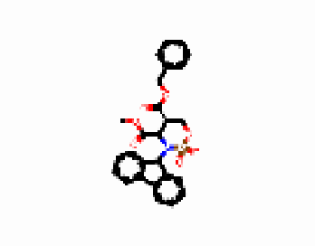 COC(=O)C1[C@@H](C(=O)OCc2ccccc2)COS(=O)(=O)N1C1c2ccccc2-c2ccccc21